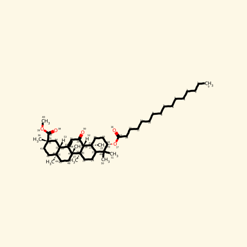 CCCCCCCCCCCCCCCC(=O)O[C@H]1CC[C@@]2(C)C(CC[C@]3(C)[C@@H]2C(=O)C=C2[C@H]4C[C@@](C)(C(=O)OC)CC[C@]4(C)CC[C@]23C)C1(C)C